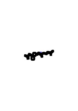 C=C(C)CC(=O)OC/C=C(\C)CCC=C(C)C